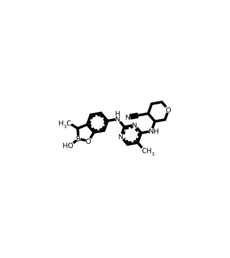 Cc1cnc(Nc2ccc3c(c2)OB(O)C3C)nc1NC1COCCC1C#N